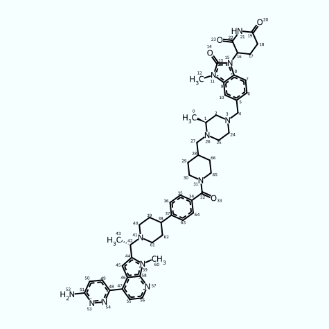 C[C@H]1CN(Cc2ccc3c(c2)n(C)c(=O)n3C2CCC(=O)NC2=O)CCN1CC1CCN(C(=O)c2ccc(C3CCN([C@@H](C)c4cc5c(-c6ccc(N)nn6)ccnc5n4C)CC3)cc2)CC1